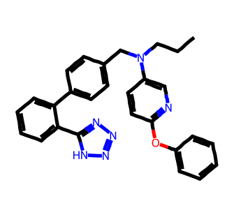 CCCN(Cc1ccc(-c2ccccc2-c2nnn[nH]2)cc1)c1ccc(Oc2ccccc2)nc1